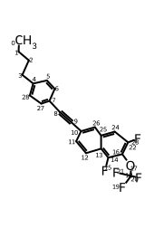 CCCCc1ccc(C#Cc2ccc3c(F)c(OC(F)(F)F)c(F)cc3c2)cc1